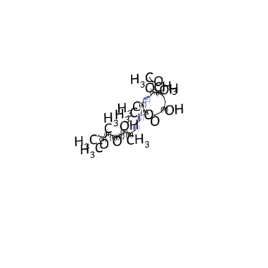 CC[C@H](OC)[C@@H](C)[C@H]1O[C@@H]1[C@@H](O)[C@H](C)/C=C/C=C(\C)[C@H]1OC(=O)C[C@H](O)CC[C@@](C)(O)[C@@H](OC(C)=O)/C=C/[C@@H]1C